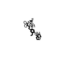 CCc1cc(CC(Nc2ncc(F)s2)C(=O)C=O)c(F)cc1NCC12CCCN1CCC2